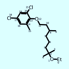 CCOC(C)(C)CCCC(C)CCOc1c(C)cc(Cl)cc1Cl